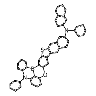 c1ccc(N(c2ccc3ccccc3c2)c2ccc3cc4c(cc3c2)sc2cc3c(cc24)Oc2cccc4c2B3c2ccccc2N4c2ccccc2)cc1